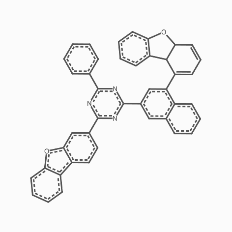 C1=CC2Oc3ccccc3C2C(c2cc(-c3nc(-c4ccccc4)nc(-c4ccc5c(c4)oc4ccccc45)n3)cc3ccccc23)=C1